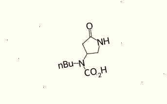 CCCCN(C(=O)O)C1CNC(=O)C1